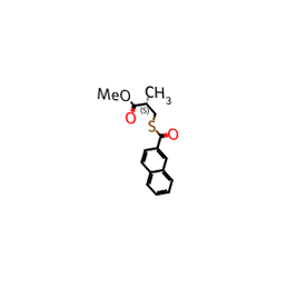 COC(=O)[C@H](C)CSC(=O)c1ccc2ccccc2c1